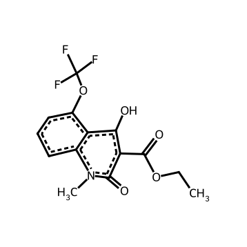 CCOC(=O)c1c(O)c2c(OC(F)(F)F)cccc2n(C)c1=O